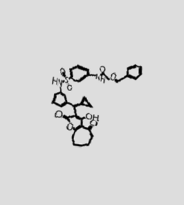 O=C(COCc1ccccc1)Nc1cccc(S(=O)(=O)Nc2cccc(C(c3c(O)c4c(oc3=O)CCCCCC4=O)C3CC3)c2)c1